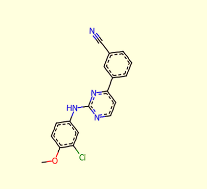 COc1ccc(Nc2nccc(-c3cccc(C#N)c3)n2)cc1Cl